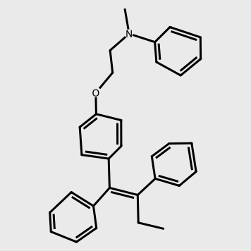 CC/C(=C(\c1ccccc1)c1ccc(OCCN(C)c2ccccc2)cc1)c1ccccc1